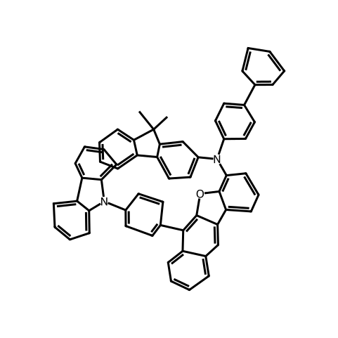 CC1(C)c2ccccc2-c2ccc(N(c3ccc(-c4ccccc4)cc3)c3cccc4c3oc3c(-c5ccc(-n6c7ccccc7c7ccccc76)cc5)c5ccccc5cc34)cc21